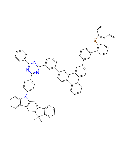 C=Cc1sc2c(-c3cccc(-c4ccc5c6ccccc6c6ccc(-c7cccc(-c8nc(-c9ccccc9)nc(-c9ccc(-n%10c%11ccccc%11c%11cc%12c(cc%11%10)-c%10ccccc%10C%12(C)C)cc9)n8)c7)cc6c5c4)c3)cccc2c1/C=C\C